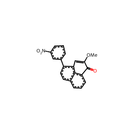 COC1=Cc2c(-c3cccc([N+](=O)[O-])c3)ccc3cccc(c23)C1=O